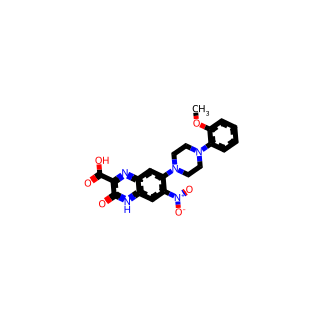 COc1ccccc1N1CCN(c2cc3nc(C(=O)O)c(=O)[nH]c3cc2[N+](=O)[O-])CC1